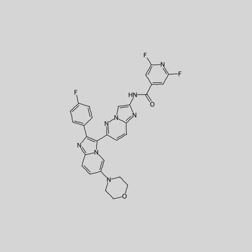 O=C(Nc1cn2nc(-c3c(-c4ccc(F)cc4)nc4ccc(N5CCOCC5)cn34)ccc2n1)c1cc(F)nc(F)c1